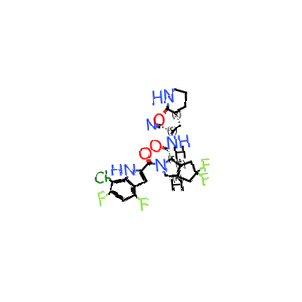 N#C[C@H](C[C@H]1CCCNC1=O)NC(=O)[C@@H]1[C@H]2CC(F)(F)C[C@H]2CN1C(=O)c1cc2c(F)cc(F)c(Cl)c2[nH]1